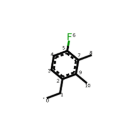 [CH2]Cc1ccc(F)c(C)c1C